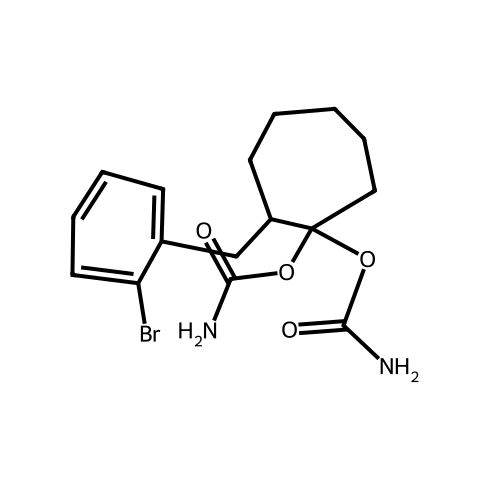 NC(=O)OC1(OC(N)=O)CCCCCC1Cc1ccccc1Br